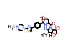 CCC[C@@H]1CN(C(=O)C(CC(C)(C)C)NC(=O)c2ccc(-c3csc(N4CCN(C)CC4)n3)cc2)[C@@H]2C(=O)CO[C@H]12